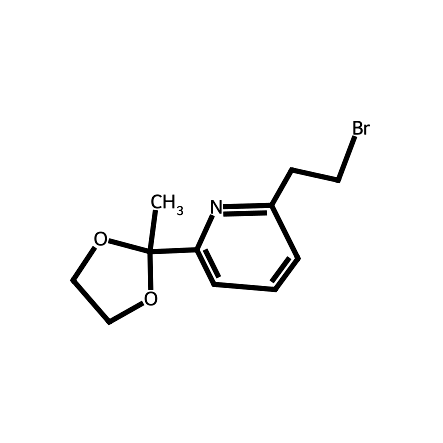 CC1(c2cccc(CCBr)n2)OCCO1